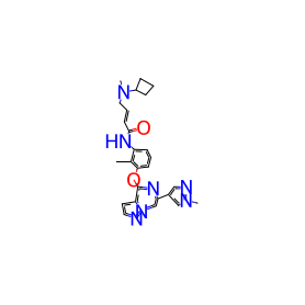 Cc1c(NC(=O)C=CCN(C)C2CCC2)cccc1Oc1nc(-c2cnn(C)c2)cn2nccc12